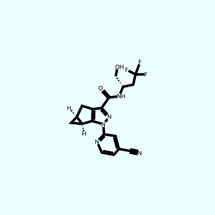 N#Cc1ccnc(-n2nc(C(=O)N[C@H](CO)CC(F)(F)F)c3c2[C@H]2C[C@H]2C3)c1